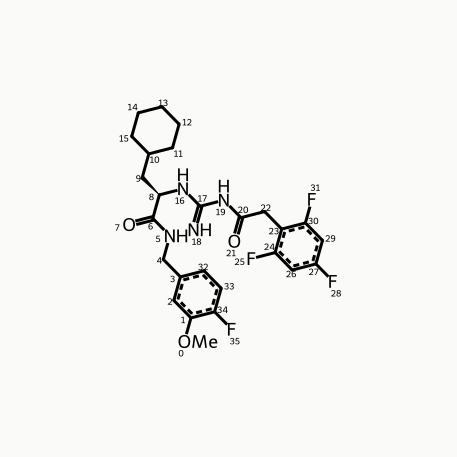 COc1cc(CNC(=O)[C@@H](CC2CCCCC2)NC(=N)NC(=O)Cc2c(F)cc(F)cc2F)ccc1F